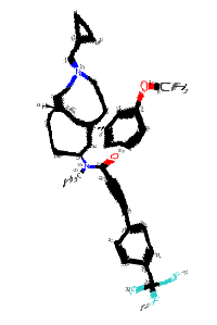 COc1cccc([C@@]23CCN(CC4CC4)C[C@H]2CC[C@H](N(C)C(=O)C#Cc2ccc(C(F)(F)F)cc2)C3)c1